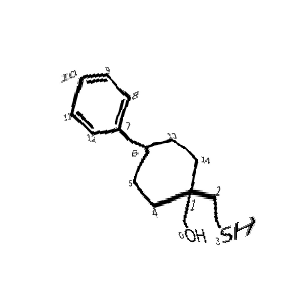 OC1(CS)CCC(c2ccccc2)CC1